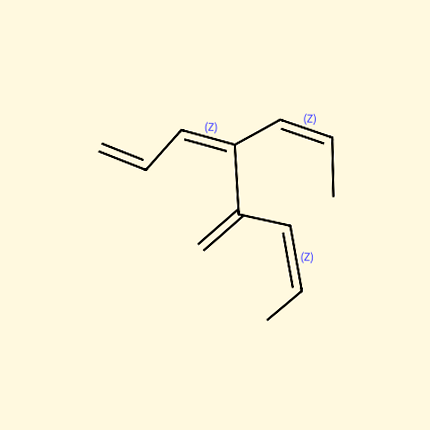 C=C/C=C(/C=C\C)C(=C)/C=C\C